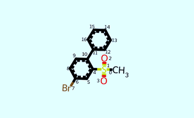 CS(=O)(=O)c1cc(Br)ccc1-c1ccccc1